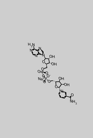 NC(=O)c1ccc[n+]([C@@H]2O[C@H](COP(=O)([O-])OP(=O)([O-])OC[C@H]3O[C@@H](n4cnc5c(N)ncnc54)[C@H](O)[C@@H]3O)[C@@H](O)[C@H]2O)c1.[Na+]